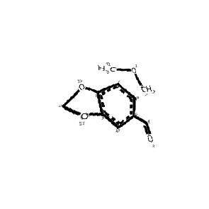 COC.O=Cc1ccc2c(c1)OCO2